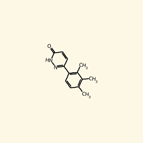 Cc1ccc(-c2ccc(=O)[nH]n2)c(C)c1C